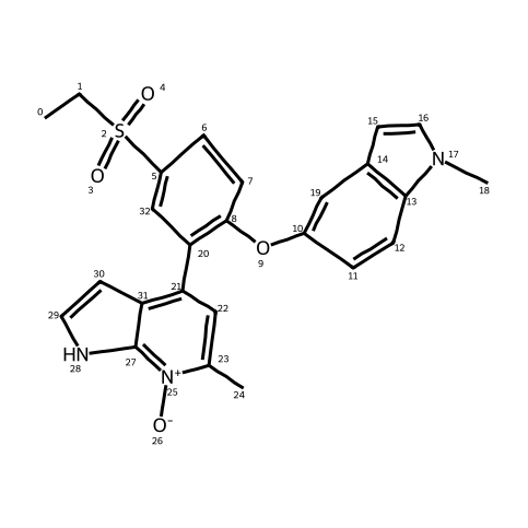 CCS(=O)(=O)c1ccc(Oc2ccc3c(ccn3C)c2)c(-c2cc(C)[n+]([O-])c3[nH]ccc23)c1